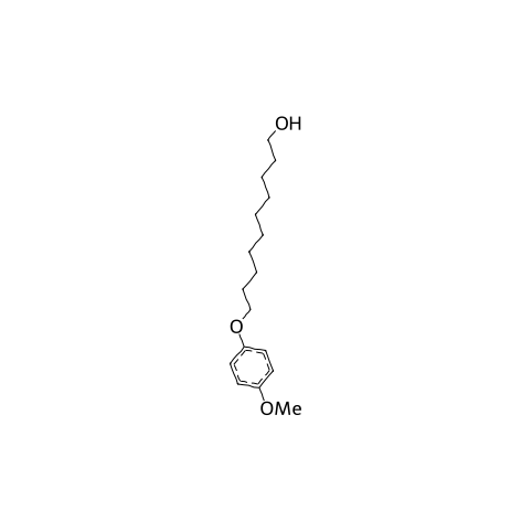 COc1ccc(OCCCCCCCCCCO)cc1